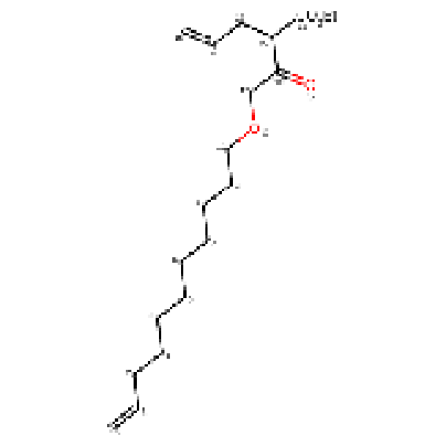 C=CCCCCCCCCCOCC(=O)C(CC=C)C(=O)OCC